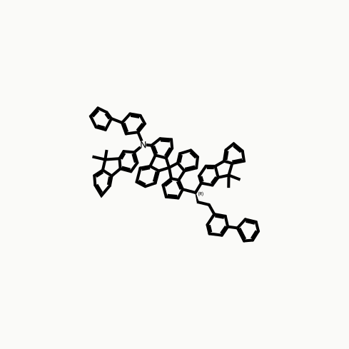 CC1(C)c2ccccc2-c2ccc([C@@H](CCc3cccc(-c4ccccc4)c3)c3cccc4c3-c3ccccc3C43c4ccccc4-c4c(N(c5cccc(-c6ccccc6)c5)c5ccc6c(c5)C(C)(C)c5ccccc5-6)cccc43)cc21